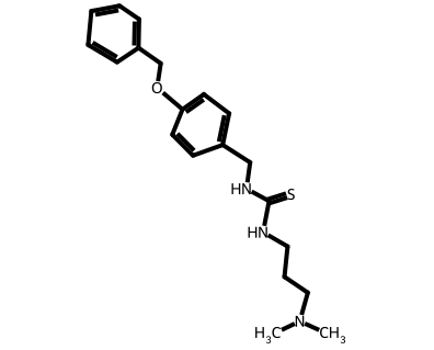 CN(C)CCCNC(=S)NCc1ccc(OCc2ccccc2)cc1